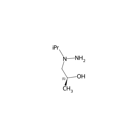 CC(C)N(N)C[C@H](C)O